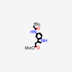 COC(=O)Cc1c[nH]c2ccc(NC(=O)CC(C)(C)C)cc12